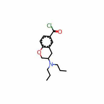 CCCN(CCC)C1COc2ccc(C(=O)Cl)cc2C1